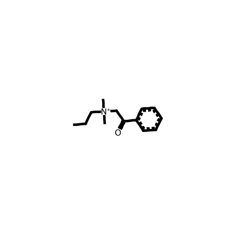 CCC[N+](C)(C)CC(=O)c1ccccc1